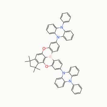 CC1(C)CC(C)(C)c2c1cc1c3c2Oc2cc(N4c5ccccc5N(c5ccccc5)c5ccccc54)ccc2B3c2ccc(N3c4ccccc4N(c4ccccc4)c4ccccc43)cc2O1